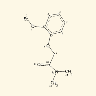 CCOc1c[c]ccc1OCC(=O)N(C)C